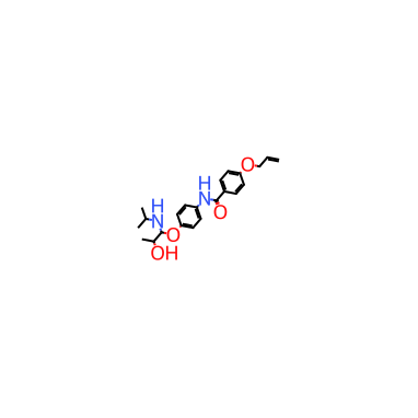 C=CCOc1ccc(C(=O)Nc2ccc(OC(NC(C)C)C(C)O)cc2)cc1